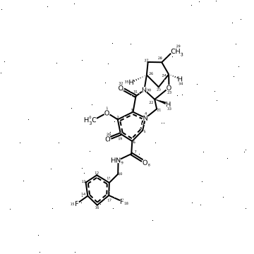 COc1c2n(cc(C(=O)NCc3ccc(F)cc3F)c1=O)C[C@H]1O[C@H]3C[C@H](CC3C)N1C2=O